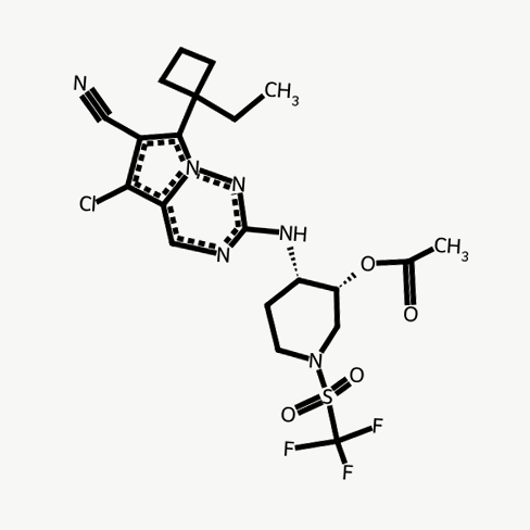 CCC1(c2c(C#N)c(Cl)c3cnc(N[C@H]4CCN(S(=O)(=O)C(F)(F)F)C[C@H]4OC(C)=O)nn23)CCC1